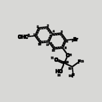 O=Cc1ccc2cc(Br)c(OP(=O)(O)C(F)F)cc2c1